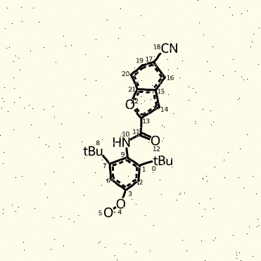 CC(C)(C)c1[c]c(O[O])cc(C(C)(C)C)c1NC(=O)c1cc2cc(C#N)ccc2o1